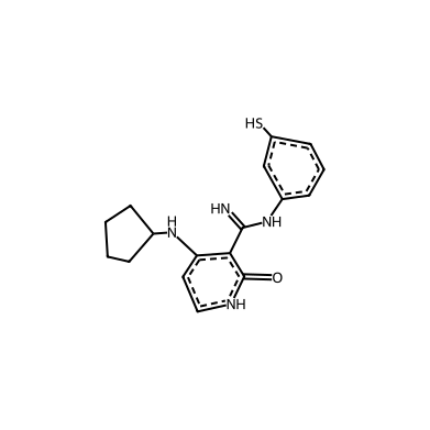 N=C(Nc1cccc(S)c1)c1c(NC2CCCC2)cc[nH]c1=O